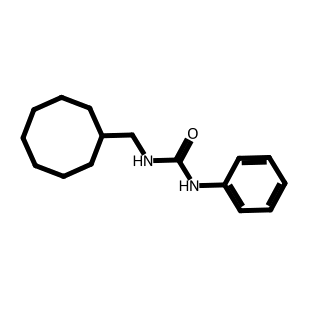 O=C(NCC1CCCCCCC1)Nc1ccccc1